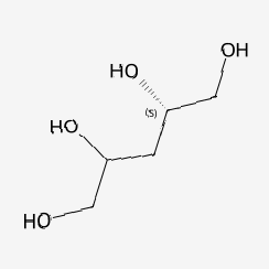 OCC(O)C[C@H](O)CO